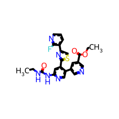 CCNC(=O)Nc1cc(-c2nc(-c3cccnc3F)cs2)c(-c2cncc(C(=O)OCC)c2)cn1